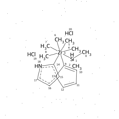 C[SiH](C)[Zr]([CH3])([CH3])([CH3])([CH3])([CH3])([C]1=CC=CC1)[c]1ccc[nH]1.Cl.Cl